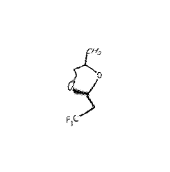 CC1COC(CC(F)(F)F)O1